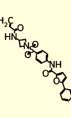 C=CC(=O)NC1CN(S(=O)(=O)c2ccc(NC(=O)c3ccc(-c4ccccc4)o3)cc2)C1